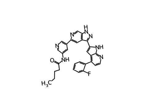 CCCCC(=O)Nc1cncc(-c2cc3c(-c4cc5c(-c6ccccc6F)ccnc5[nH]4)n[nH]c3cn2)c1